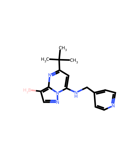 Bc1cnn2c(NCc3ccncc3)cc(C(C)(C)C)nc12